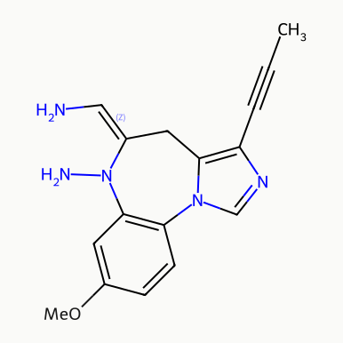 CC#Cc1ncn2c1C/C(=C/N)N(N)c1cc(OC)ccc1-2